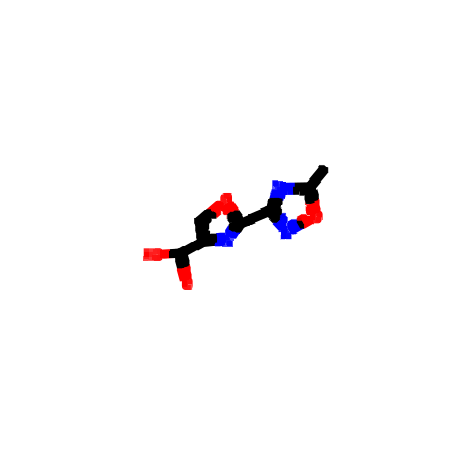 Cc1nc(-c2nc(C(=O)O)co2)no1